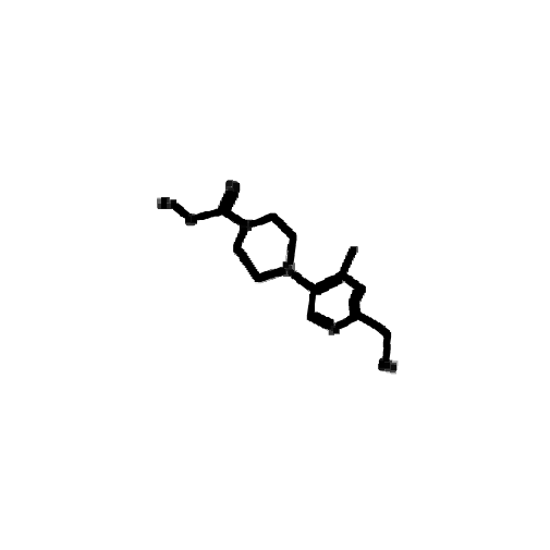 Cc1cc(CO)ncc1N1CCN(C(=O)OC(C)(C)C)CC1